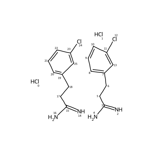 Cl.Cl.N=C(N)CCc1cccc(Cl)c1.N=C(N)CCc1cccc(Cl)c1